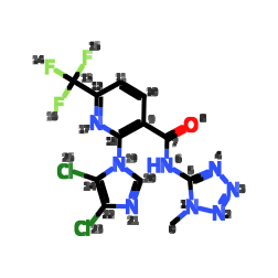 Cn1nnnc1NC(=O)c1ccc(C(F)(F)F)nc1-n1cnc(Cl)c1Cl